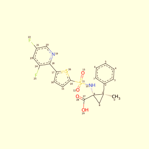 C[C@]1(c2ccccc2)C[C@@]1(NS(=O)(=O)c1ccc(-c2ncc(F)cc2F)s1)C(=O)O